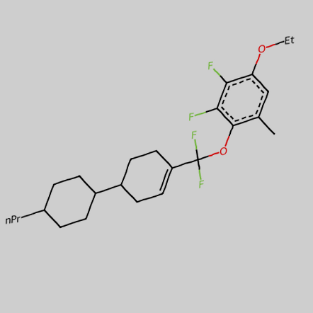 CCCC1CCC(C2CC=C(C(F)(F)Oc3c(C)cc(OCC)c(F)c3F)CC2)CC1